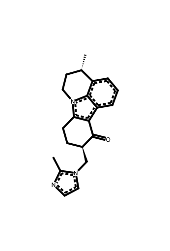 Cc1nccn1C[C@H]1CCc2c(c3cccc4c3n2CC[C@@H]4C)C1=O